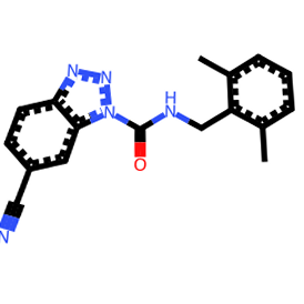 Cc1cccc(C)c1CNC(=O)n1nnc2ccc(C#N)cc21